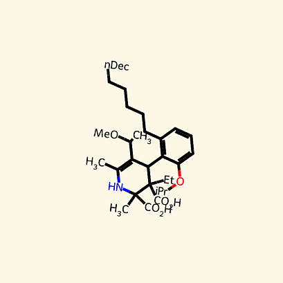 CCCCCCCCCCCCCCCc1cccc(OC(C)C)c1C1C(C(C)OC)=C(C)NC(C)(C(=O)O)C1(CC)C(=O)O